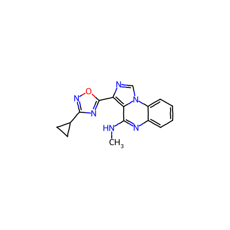 CNc1nc2ccccc2n2cnc(-c3nc(C4CC4)no3)c12